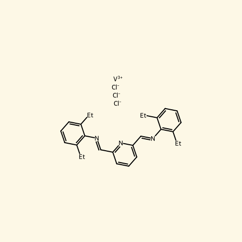 CCc1cccc(CC)c1N=Cc1cccc(C=Nc2c(CC)cccc2CC)n1.[Cl-].[Cl-].[Cl-].[V+3]